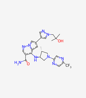 C[C@@H]1CN(c2cnc(C(F)(F)F)cn2)C[C@H]1Nc1c(C(N)=O)cnn2cc(-c3cnn(CC(C)(C)O)c3)cc12